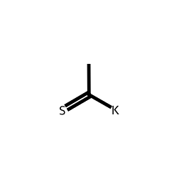 C[C](=S)[K]